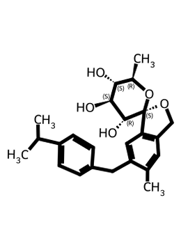 Cc1cc2c(cc1Cc1ccc(C(C)C)cc1)[C@]1(OC2)O[C@H](C)[C@@H](O)[C@H](O)[C@H]1O